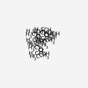 CC(C)(C)c1ccc(O)c(C(C)(C)C)c1.CC(C)(C)c1ccc(O)c(C(C)(C)C)c1.CC(C)(C)c1ccc(O)c(C(C)(C)C)c1.OP(O)O